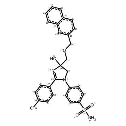 NS(=O)(=O)c1ccc(N2CC(O)(COCc3ccc4ccccc4n3)N=C2c2ccc(Cl)cc2)cc1